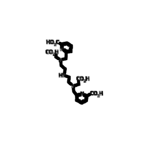 O=C(O)CN(CCNCCN(CC(=O)O)Cc1cccc(C(=O)O)n1)Cc1cccc(C(=O)O)n1